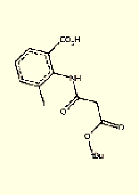 Cc1cccc(C(=O)O)c1NC(=O)CC(=O)OC(C)(C)C